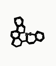 C1=Cc2ccccc2SN=C1C1CCC=c2ccc3c(c21)CC=c1ccccc1=3